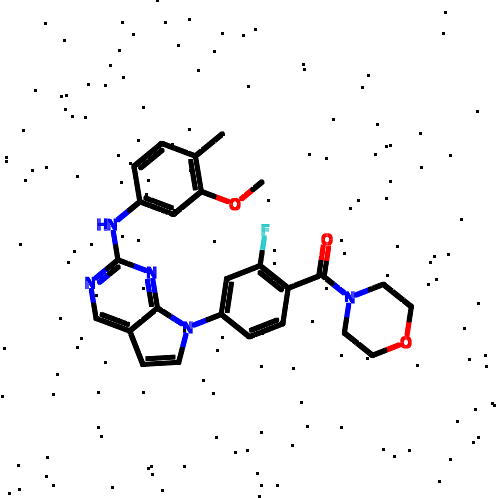 COc1cc(Nc2ncc3ccn(-c4ccc(C(=O)N5CCOCC5)c(F)c4)c3n2)ccc1C